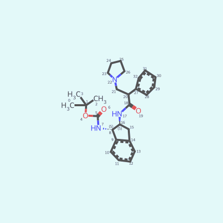 CC(C)(C)OC(=O)N[C@H]1c2ccccc2C[C@@H]1NC(=O)C(CN1CCCC1)c1ccccc1